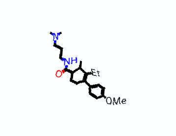 CCC1=C(c2ccc(OC)cc2)CCC(C(=O)NCCCN(C)C)C1C